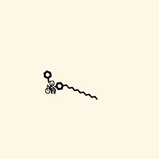 CCCCCCCCCCCCc1ccc(S(=O)(=NO)OCc2ccccc2)cc1